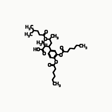 CCCCCC(=O)Oc1ccc(C(CC(C)OC(=O)CCC(C)C)[C@H](N)C(=O)O)cc1OC(=O)CCCCC